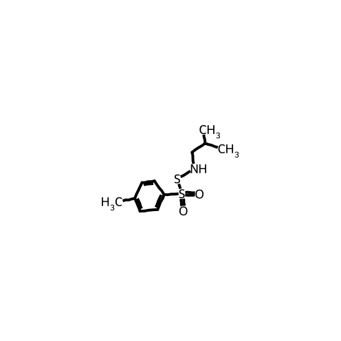 Cc1ccc(S(=O)(=O)SNCC(C)C)cc1